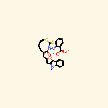 Cn1c2ccccc2c2oc(C=C3C=CC=CSC(=S)N(Nc4ccccc4C(=O)O)C3=O)cc21